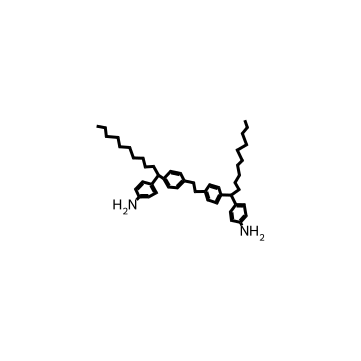 CCCCCCCCCCC(c1ccc(N)cc1)c1ccc(CCc2ccc(C(CCCCCCCCCC)c3ccc(N)cc3)cc2)cc1